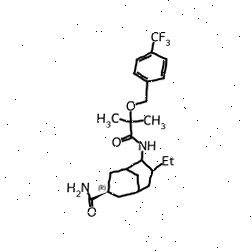 CCC1CC2CC(C[C@H](C(N)=O)C2)C1NC(=O)C(C)(C)OCc1ccc(C(F)(F)F)cc1